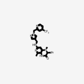 Cc1nc(NCc2cnn(Cc3cc(C(F)(F)F)ccn3)c2)cc2c1NC(=O)C(C(C)C)N2C